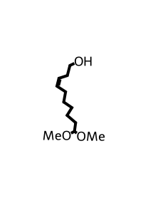 COC(CCCCC/C=C\CCO)OC